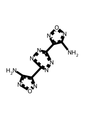 Nc1nonc1-c1nnc(-c2nonc2N)nn1